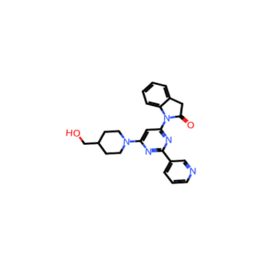 O=C1Cc2ccccc2N1c1cc(N2CCC(CO)CC2)nc(-c2cccnc2)n1